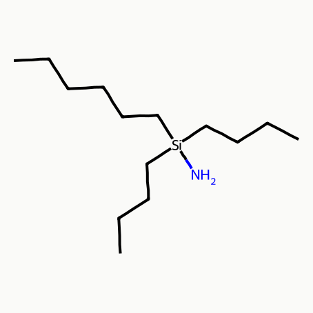 CCCCCC[Si](N)(CCCC)CCCC